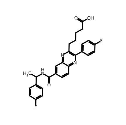 CC(NC(=O)c1ccc2nc(-c3ccc(F)cc3)c(CCCCC(=O)O)nc2c1)c1ccc(F)cc1